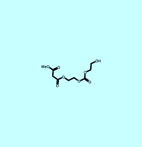 COC(=O)CC(=O)OCCOC(=O)OCCO